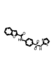 O=C(Nc1ccc(S(=O)(=O)Nc2nccs2)cc1)c1cc2ccccc2o1